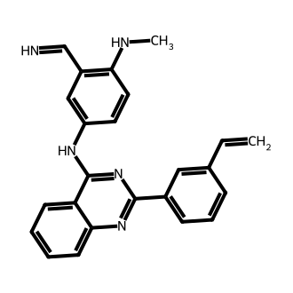 C=Cc1cccc(-c2nc(Nc3ccc(NC)c(C=N)c3)c3ccccc3n2)c1